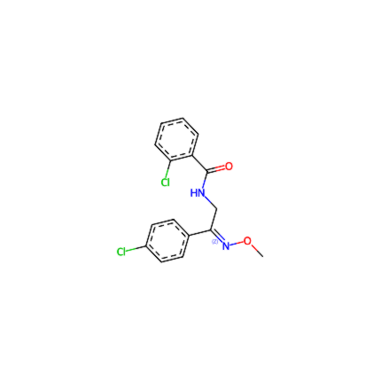 CO/N=C(\CNC(=O)c1ccccc1Cl)c1ccc(Cl)cc1